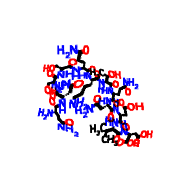 CC(C)[C@H](NC(=O)[C@H](CC(=O)O)NC(=O)[C@H](CC(N)=O)NC(=O)[C@H](CCC(N)=O)NC(=O)[C@@H](NC(=O)[C@H](CCCCN)NC(=O)[C@H](CCC(N)=O)NC(=O)[C@H](CO)NC(=O)[C@H](CO)NC(=O)[C@H](CC(N)=O)NC(=O)[C@@H](N)CCC(N)=O)[C@@H](C)O)C(=O)N[C@@H](CC(=O)O)C(=O)O